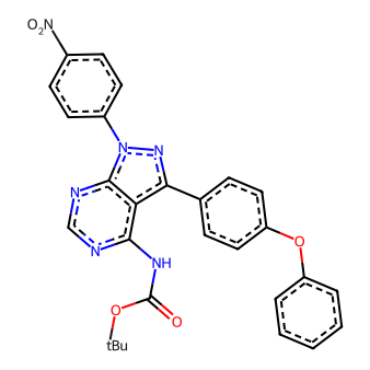 CC(C)(C)OC(=O)Nc1ncnc2c1c(-c1ccc(Oc3ccccc3)cc1)nn2-c1ccc([N+](=O)[O-])cc1